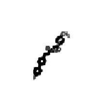 CN1CCN(C(=O)CNC(=O)C=Cc2ccc(-c3ccc(F)cc3)cc2)CC1